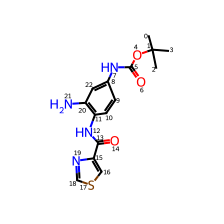 CC(C)(C)OC(=O)Nc1ccc(NC(=O)c2cscn2)c(N)c1